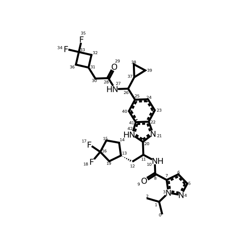 CC(C)n1nccc1C(=O)NC(C[C@H]1CCC(F)(F)C1)c1nc2ccc(C(NC(=O)CC3CC(F)(F)C3)C3CC3)cc2[nH]1